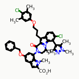 Cc1cc(OCCCc2c3n(c4c(-c5c(C)nn(C)c5C)c(Cl)ccc24)C(C)CN(c2cc(OCc4ccccc4)cc4cc(C(=O)O)n(C)c24)C3=O)cc(C)c1Cl